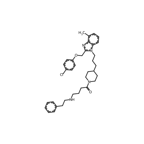 Cc1cccc2c1nc(COc1ccc(Cl)cc1)n2CCCC1CCN(C(=O)CCCNCCc2ccccc2)CC1